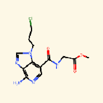 COC(=O)CNC(=O)c1cnc(N)c2ncn(CCCCl)c12